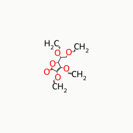 C=COCC(OC=C)C1OC(=O)C(OC=C)=C1OC=C